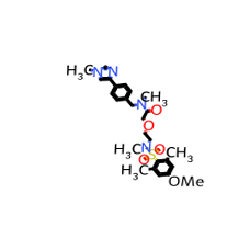 COc1cc(C)c(S(=O)(=O)N(C)CCOCC(=O)N(C)Cc2ccc(-c3cn(C)cn3)cc2)c(C)c1